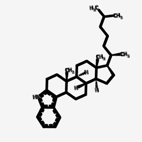 CC(C)CCC[C@@H](C)[C@H]1CC[C@H]2[C@@H]3CCC4c5c([nH]c6ccccc56)CC[C@]4(C)[C@H]3CC[C@]12C